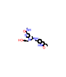 CCc1cc2ccc(CNC(C)CN(CC#CO)c3ccc(C(=O)NC)nc3)cc2[nH]c1=O